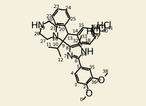 COc1ccc(-c2nc(C(C(C)C)(C(c3ccccc3)c3ccccc3)N3CCNCC3)c(C)[nH]2)cc1OC.Cl.Cl.Cl